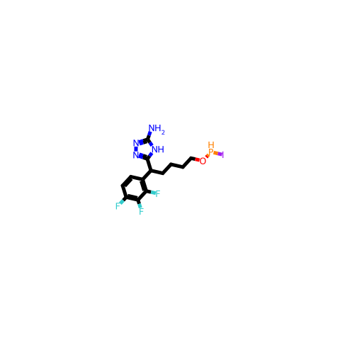 Nc1nnc(C(CCCCOPI)c2ccc(F)c(F)c2F)[nH]1